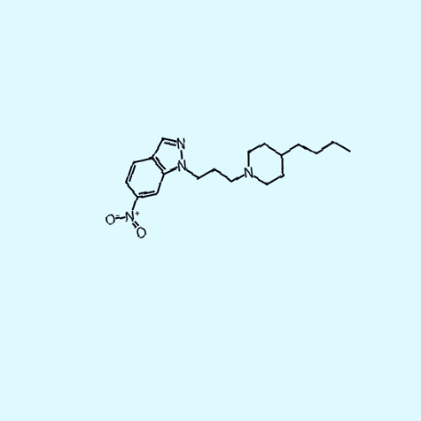 CCCCC1CCN(CCCn2ncc3ccc([N+](=O)[O-])cc32)CC1